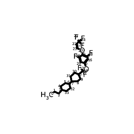 CCCC1CCC(C2CCC(C(F)(F)Oc3cc(F)c(O/C=C\C(F)(F)F)c(F)c3)CC2)CC1